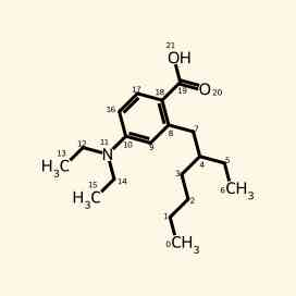 CCCCC(CC)Cc1cc(N(CC)CC)ccc1C(=O)O